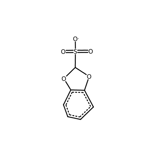 [O]S(=O)(=O)C1Oc2ccccc2O1